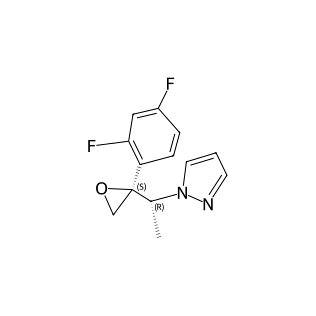 C[C@@H](n1cccn1)[C@@]1(c2ccc(F)cc2F)CO1